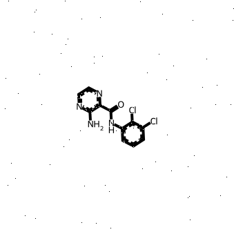 Nc1nccnc1C(=O)Nc1cccc(Cl)c1Cl